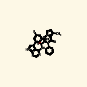 Cc1ccn2nc(C(C)Nc3ncnc4[nH]cc(-c5cc(O)cc(F)c5)c34)n(-c3ccccc3)c(=O)c12